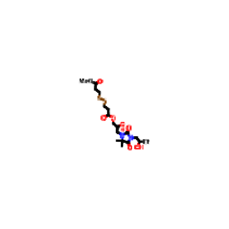 CCC(O)CN1C(=O)N(CC(O)COC(=O)CCSSCCC(=O)OC)C(C)(C)C1=O